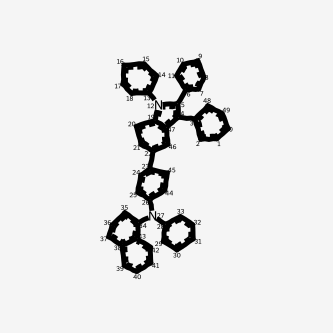 c1ccc(-c2c(-c3ccccc3)n(-c3ccccc3)c3ccc(-c4ccc(N(c5ccccc5)c5cccc6ccccc56)cc4)cc23)cc1